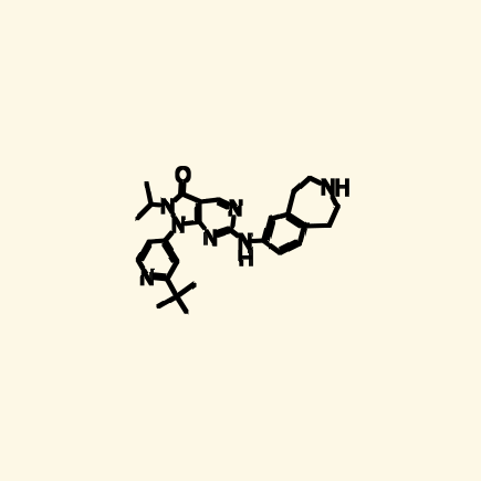 CC(C)n1c(=O)c2cnc(Nc3ccc4c(c3)CCNCC4)nc2n1-c1ccnc(C(C)(C)C)c1